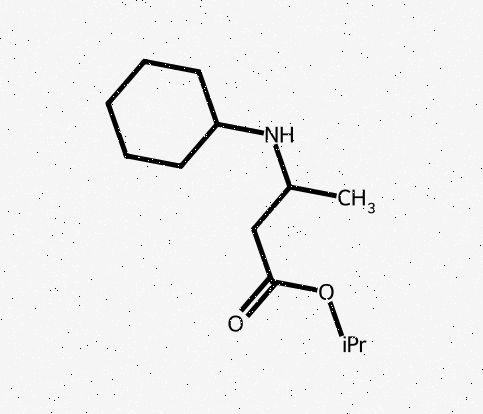 CC(CC(=O)OC(C)C)NC1CCCCC1